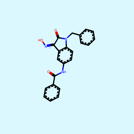 O=C(Nc1ccc2c(c1)/C(=N/O)C(=O)N2Cc1ccccc1)c1ccccc1